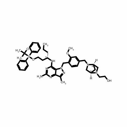 CCC[C@@H](CCO[Si](c1ccccc1)(c1ccccc1)C(C)(C)C)Nc1nc(N)nc2c(C)nn(Cc3ccc(CN4C[C@H]5C[C@@H]4CN5CCO)cc3OC)c12